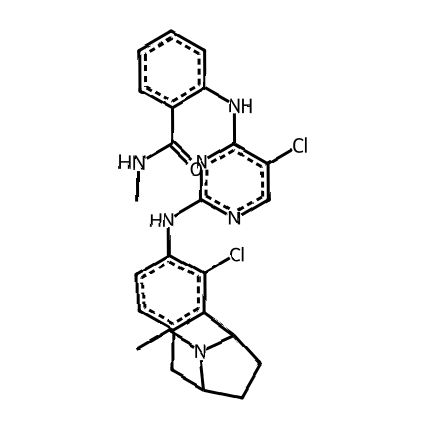 CCN1C2CCC1c1c(ccc(Nc3ncc(Cl)c(Nc4ccccc4C(=O)NC)n3)c1Cl)C2